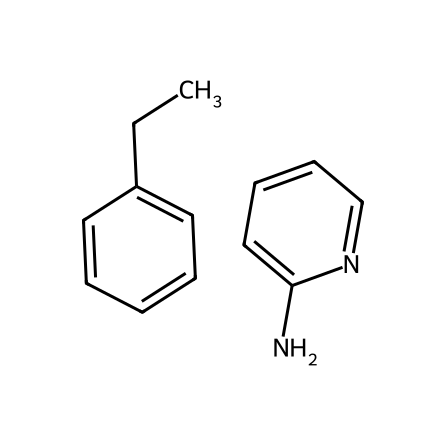 CCc1ccccc1.Nc1ccccn1